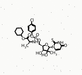 C[C@H](N[P@](=O)(OC[C@H]1O[C@@H](n2ccc(=O)[nH]c2=S)C(C)(O)[C@H]1O)Oc1ccc(Cl)cc1)C(=O)OC1CCCCC1